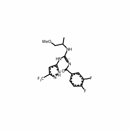 COCC(C)N/C(=N/C(=O)c1ccc(F)c(F)c1)Nc1cc(C(F)(F)F)n[nH]1